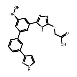 O=C(O)CSc1nnc(-c2cc(NO)cc(-c3cccc(-c4cc[nH]n4)c3)c2)[nH]1